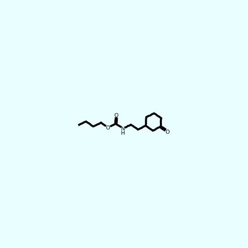 CCCCOC(=O)NCCC1CCCC(=O)C1